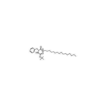 CCCCCCCCCCCCCCCCNC(=O)[C@H](Cc1ccccc1)NC(=O)OC(C)(C)C